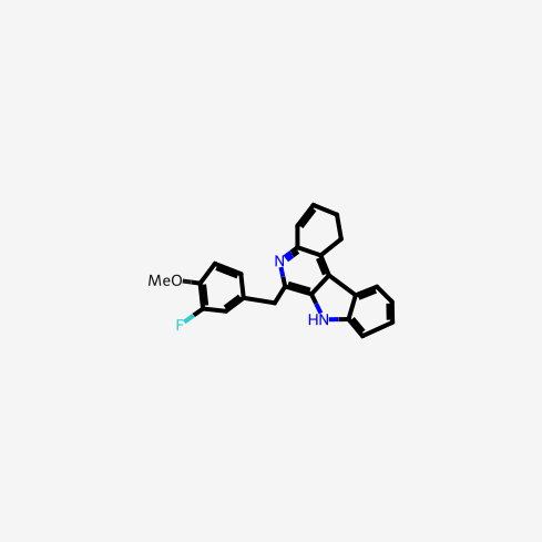 COc1ccc(Cc2nc3c(c4c2[nH]c2ccccc24)CCC=C3)cc1F